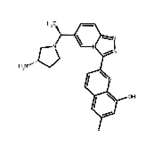 C[C@@H](c1ccc2nnc(-c3ccc4cc(F)cc(O)c4n3)n2c1)N1CC[C@H](N)C1